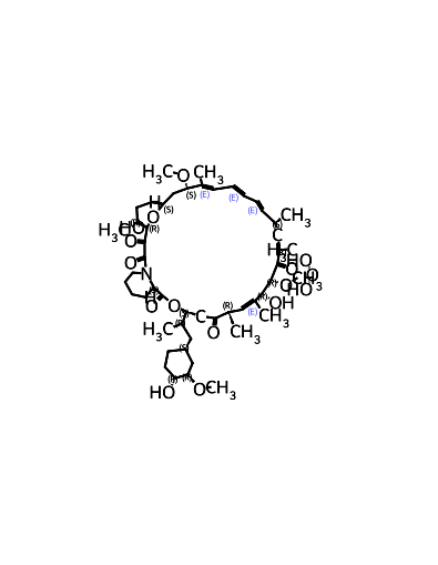 CO[C@H]1C[C@@H]2CC[C@@H](C)[C@@](O)(O2)C(=O)C(=O)N2CCCC[C@H]2C(=O)O[C@H]([C@H](C)C[C@@H]2CC[C@@H](O)[C@H](OC)C2)CC(=O)[C@H](C)/C=C(\C)[C@@H](O)[C@@H](OC)C(=O)[C@H](C)C[C@H](C)/C=C/C=C/C=C/1C.OOO